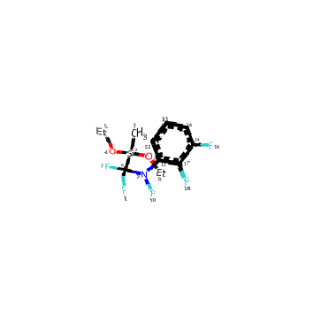 CCO[Si](C)(OCC)C(F)(F)N(F)c1cccc(F)c1F